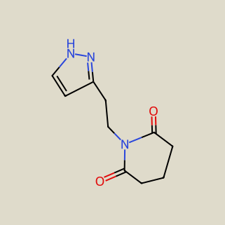 O=C1CCCC(=O)N1CCc1cc[nH]n1